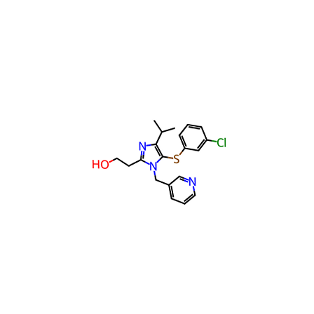 CC(C)c1nc(CCO)n(Cc2cccnc2)c1Sc1cccc(Cl)c1